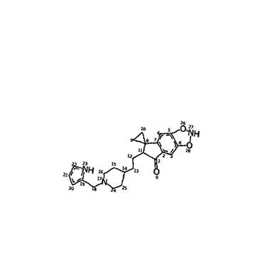 O=C1c2cc3c(cc2C2(CC2)C1CCC1CCN(Cc2ccc[nH]2)CC1)ONO3